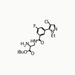 CCn1ncc(Cl)c1-c1cc(F)cc(C(=O)NCC(N)C(=O)OCC(C)C)c1